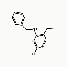 CCc1cnc(Cl)nc1NCc1ccccc1